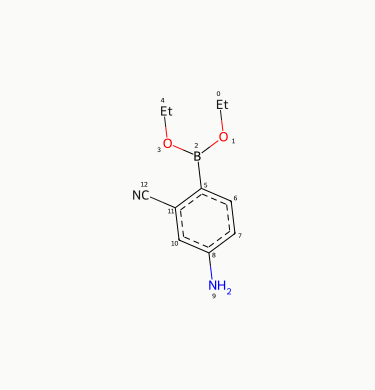 CCOB(OCC)c1ccc(N)cc1C#N